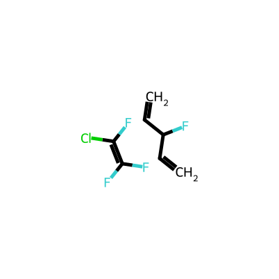 C=CC(F)C=C.FC(F)=C(F)Cl